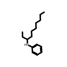 CCCCCCCC(CC)Nc1ccccc1